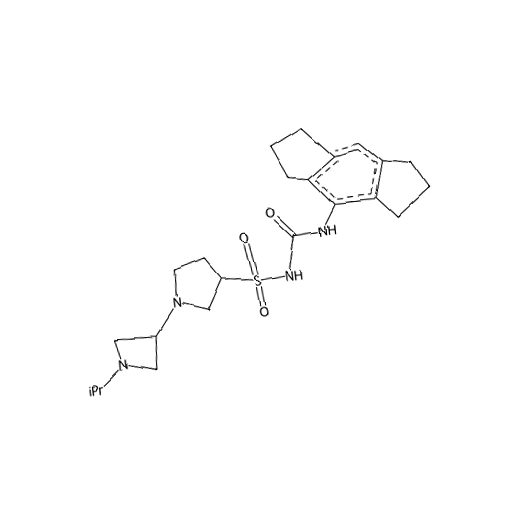 CC(C)N1CC(N2CCC(S(=O)(=O)NC(=O)Nc3c4c(cc5c3CCC5)CCC4)C2)C1